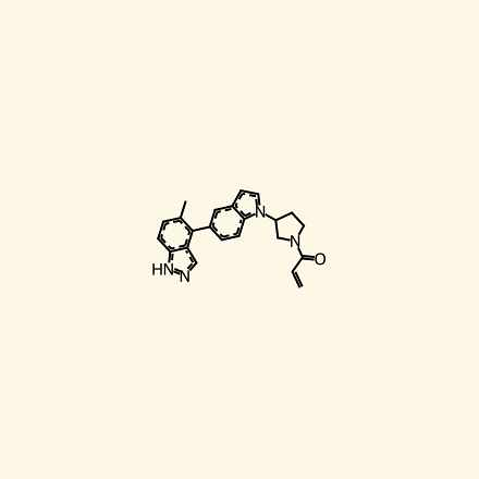 C=CC(=O)N1CCC(n2ccc3cc(-c4c(C)ccc5[nH]ncc45)ccc32)C1